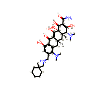 CN(C)c1c(CNCC2(C)CCCCC2)cc(O)c2c1C[C@H]1C[C@H]3[C@H](N(C)C)C(O)=C(C(N)=O)C(=O)[C@@]3(O)C(O)=C1C2=O